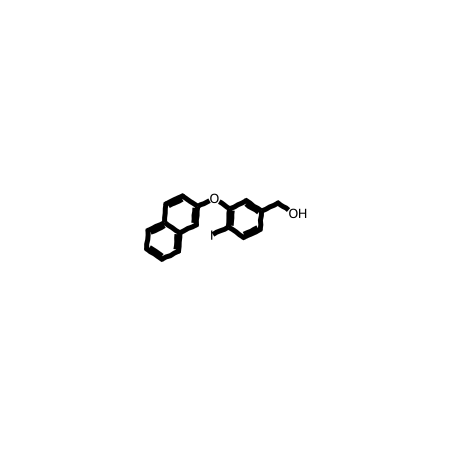 OCc1ccc(I)c(Oc2ccc3ccccc3c2)c1